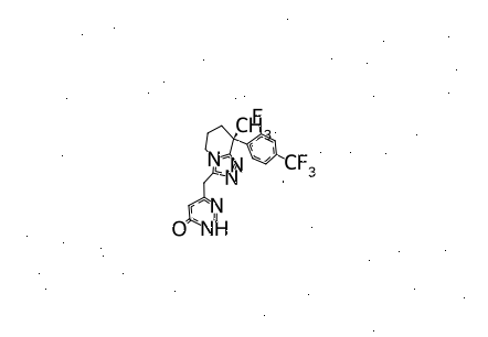 C[C@]1(c2ccc(C(F)(F)F)cc2F)CCCn2c(Cc3cc(=O)[nH]cn3)nnc21